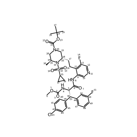 COC(=O)NC(C(=O)Nc1cncc(F)c1CC[C@H]1CN(C(=O)OC(C)(C)C)C[C@H](C)N1S(=O)(=O)C1CC1)[C@@H](c1ccc(Cl)cc1)c1cccc(F)c1